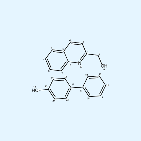 OCc1ccc2ccccc2n1.Oc1ccc(-c2ccccc2)cc1